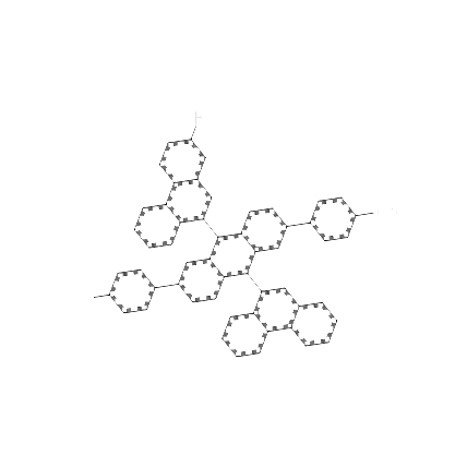 CC(C)(C)c1ccc(-c2ccc3c(-c4cc5cc(F)ccc5c5ccccc45)c4cc(-c5ccc(C(F)(F)F)cc5)ccc4c(-c4cc5ccccc5c5ccccc45)c3c2)cc1